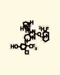 [2H][C@]1(F)CN2CCC[C@@]2(COc2nc3c(c(N4C[C@H]5CC[C@@H](C4)N5)n2)CCN(c2cc(O)cc(Cl)c2C(F)(F)F)C3)C1